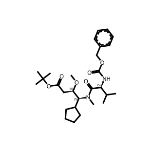 CO[C@H](CC(=O)OC(C)(C)C)[C@H](C1CCCC1)N(C)C(=O)[C@@H](NC(=O)OCc1ccccc1)C(C)C